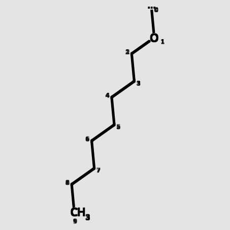 [C]OCCCCCCCC